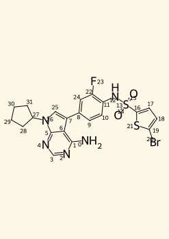 Nc1ncnc2c1c(-c1ccc(NS(=O)(=O)c3ccc(Br)s3)c(F)c1)cn2C1CCCC1